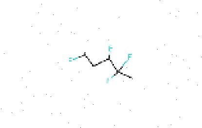 CC(F)(F)C(F)C[CH]F